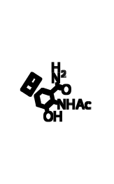 CC(=O)Nc1c(O)cccc1C(N)=O.c1cc2ccc1-2